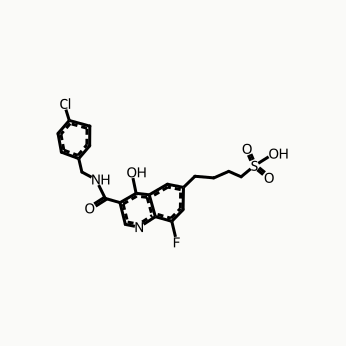 O=C(NCc1ccc(Cl)cc1)c1cnc2c(F)cc(CCCCS(=O)(=O)O)cc2c1O